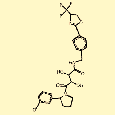 O=C(NCc1ccc(C2=NC(C(F)(F)F)CS2)cc1)[C@H](O)[C@@H](O)C(=O)N1CCCC1c1cccc(Cl)c1